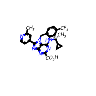 Cc1cc(-c2nc3nc(C(=O)O)nc(N[C@H](C)C4CC4)c3n2Cc2ccc(C(F)(F)F)cc2)ccn1